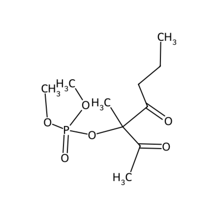 CCCC(=O)C(C)(OP(=O)(OC)OC)C(C)=O